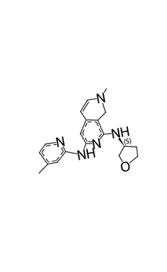 Cc1ccnc(Nc2cc3c(c(N[C@H]4CCOC4)n2)CN(C)C=C3)c1